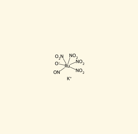 O=[N][Ru]([O-])([N+](=O)[O-])([N+](=O)[O-])([N+](=O)[O-])[N+](=O)[O-].[K+]